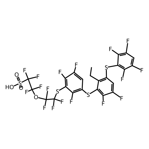 CCc1c(Sc2c(F)c(F)cc(F)c2F)cc(F)c(F)c1Sc1cc(F)c(F)c(SC(F)(F)C(F)(F)OC(F)(F)C(F)(F)S(=O)(=O)O)c1F